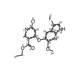 CCOC(=O)c1cnc(Cl)cc1Oc1cc2c(F)c[nH]c2nc1OC